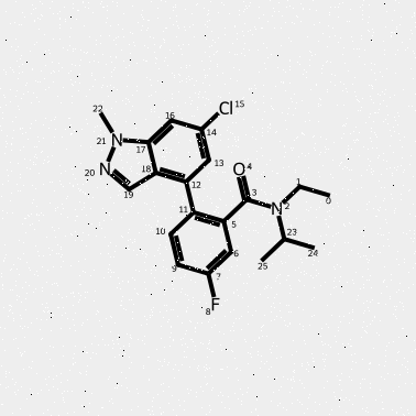 CCN(C(=O)c1cc(F)ccc1-c1cc(Cl)cc2c1cnn2C)C(C)C